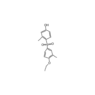 CCOc1ccc(S(=O)(=O)c2ccc(O)cc2C)cc1C